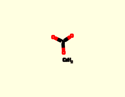 [CaH2].[O]=[Ti](=[O])=[O]